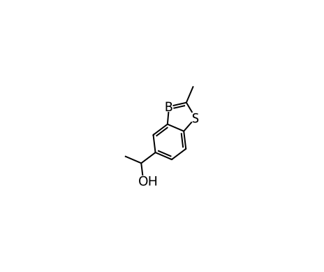 Cc1bc2cc(C(C)O)ccc2s1